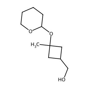 CC1(OC2CCCCO2)CC(CO)C1